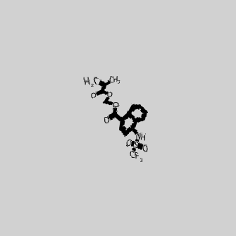 C=C(C)C(=O)OCOC(=O)c1ccc(NS(=O)(=O)C(F)(F)F)c2ccccc12